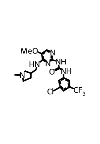 COc1cnc(NC(=O)Nc2cc(Cl)cc(C(F)(F)F)c2)nc1NCC1CCN(C)C1